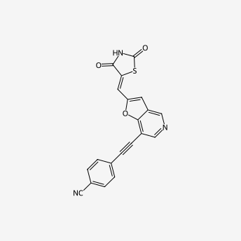 N#Cc1ccc(C#Cc2cncc3cc(/C=C4\SC(=O)NC4=O)oc23)cc1